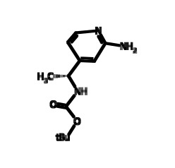 C[C@@H](NC(=O)OC(C)(C)C)c1ccnc(N)c1